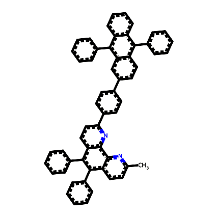 Cc1ccc2c(-c3ccccc3)c(-c3ccccc3)c3ccc(-c4ccc(-c5ccc6c(-c7ccccc7)c7ccccc7c(-c7ccccc7)c6c5)cc4)nc3c2n1